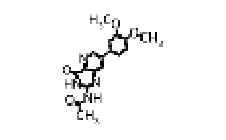 COc1ccc(-c2cnc3c(=O)[nH]c(NC(C)=O)nc3c2)cc1OC